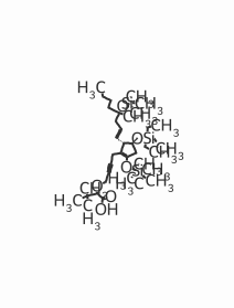 CCCCC(C)(C/C=C/[C@H]1C(CC#CCOC(C(=O)O)C(C)(C)C)=C(O[Si](C)(C)C(C)(C)C)C[C@@H]1O[Si](CC)(CC)CC)O[Si](C)(C)C